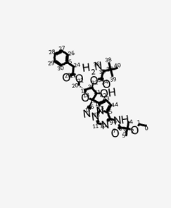 CCOC(C)(C)C(=O)Nc1ncnn2c([C@]3(C#N)O[C@H](COC(=O)Cc4ccccc4)[C@@H](OC(=O)[C@H](N)C(C)(C)C)[C@H]3O)ccc12